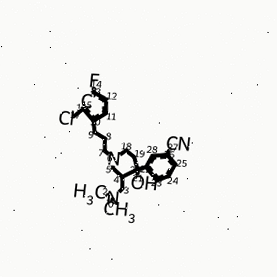 CN(C)CC1CN(CCCc2ccc(F)cc2Cl)CCC1(O)c1cccc(C#N)c1